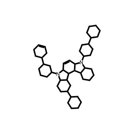 C1=CCC(C2CCCC(N3C4C=CC5C(C6CCCCC6N5C5CCC(C6CCCCC6)CC5)C4C4CC(C5CCCCC5)CCC43)C2)CC1